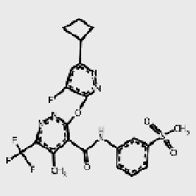 Cc1c(C(F)(F)F)nnc(Oc2nnc(C3CCC3)cc2F)c1C(=O)Nc1cccc(S(C)(=O)=O)c1